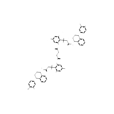 Cc1cc(C)c(C(C)(C)CC(=O)N(C)[C@H]2CC[C@@H](c3ccc(Cl)c(Cl)c3)c3ccccc32)c(OC(=O)CCC(=O)Oc2cc(C)cc(C)c2C(C)(C)CC(=O)N(C)[C@H]2CC[C@@H](c3ccc(Cl)c(Cl)c3)c3ccccc32)c1